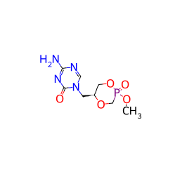 COP1(=O)CO[C@@H](Cn2cnc(N)nc2=O)CO1